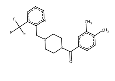 Cc1ccc(C(=O)N2CCN(Cc3ncccc3C(F)(F)F)CC2)cc1C